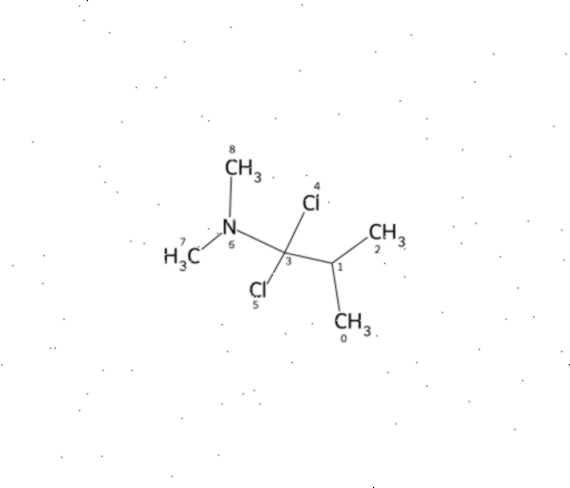 CC(C)C(Cl)(Cl)N(C)C